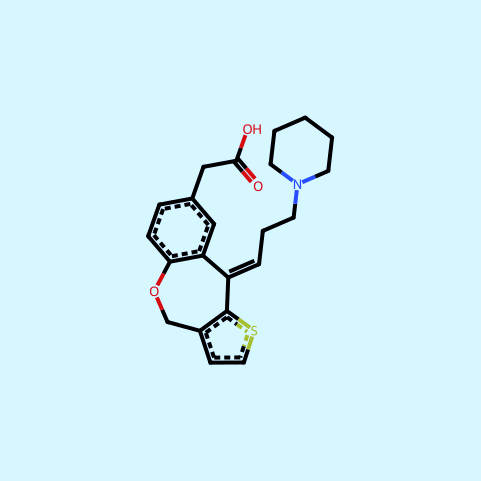 O=C(O)Cc1ccc2c(c1)/C(=C\CCN1CCCCC1)c1sccc1CO2